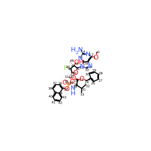 COc1nc(N)nc2c1ncn2C1O[C@H](COP(=O)(N[C@H](C(=O)OCc2ccccc2)C(C)C)Oc2cccc3ccccc23)[C@@H](F)[C@@]1(C)O